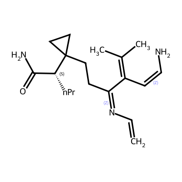 C=C/N=C(/CCC1([C@H](CCC)C(N)=O)CC1)C(/C=C\N)=C(C)C